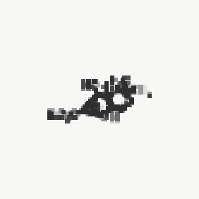 CCOC(=O)[C@@H]1[C@H]2O[C@@H]3COC(C)(C)O[C@H]3[C@H](O)[C@H]21